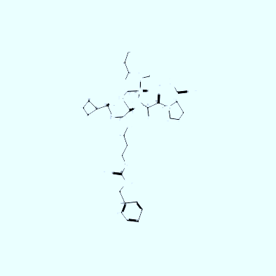 CCCC[C@@H](NC(=O)[C@H](CCCCNC(=O)OCc1ccccc1)NC(=O)C1CCC1)P(=O)(OC)OC(C)C(=O)N1CCC[C@H]1C(=O)O